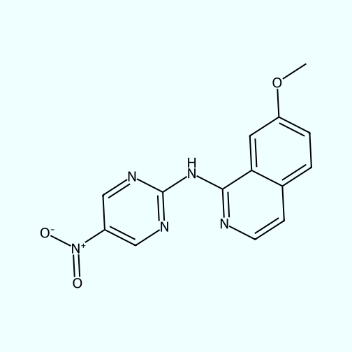 COc1ccc2ccnc(Nc3ncc([N+](=O)[O-])cn3)c2c1